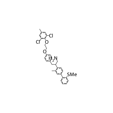 CSc1ccccc1-c1ccc(C(CN)Cc2ccc(OCCOc3c(Cl)cc(C)cc3Cl)cc2)c(C)c1